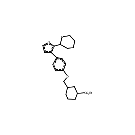 CCOC(=O)C1CCCC(COc2ccc(-c3ccnn3C3CCCCO3)nc2)C1